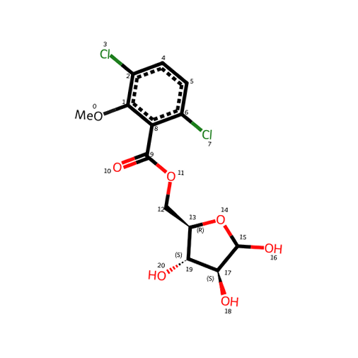 COc1c(Cl)ccc(Cl)c1C(=O)OC[C@H]1OC(O)[C@@H](O)[C@@H]1O